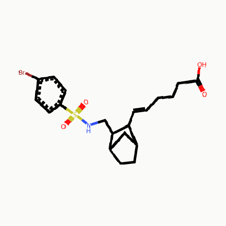 O=C(O)CCCC=CC1C2CCC(C2)C1CNS(=O)(=O)c1ccc(Br)cc1